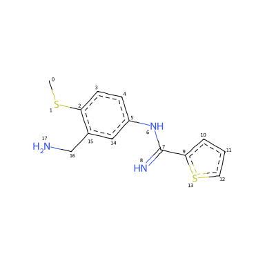 CSc1ccc(NC(=N)c2cccs2)cc1CN